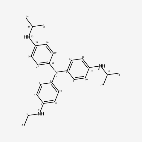 CCNc1ccc(N(c2ccc(NC(C)C)cc2)c2ccc(NC(C)C)cc2)cc1